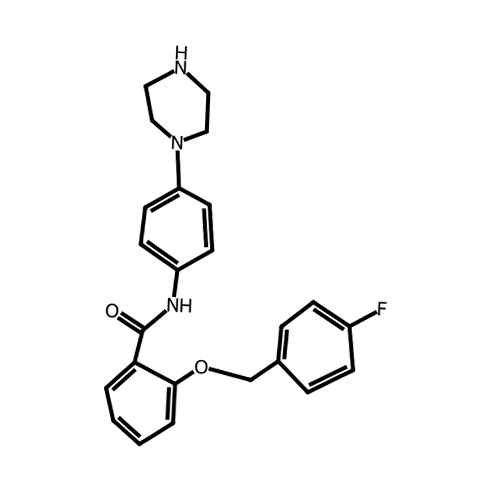 O=C(Nc1ccc(N2CCNCC2)cc1)c1ccccc1OCc1ccc(F)cc1